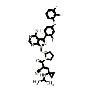 CC(C)NC1(/C=C(\C#N)C(=O)N2CCC[C@H]2Cn2nc(-c3ccc(Oc4cccc(F)c4F)cc3F)c3c(N)ncnc32)CC1